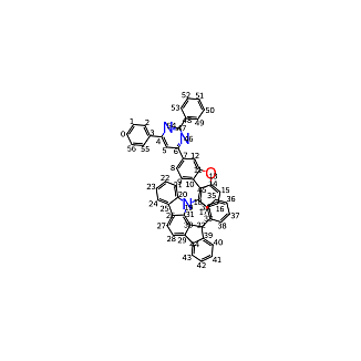 c1ccc(-c2cc(-c3ccc4c(c3)oc3cccc(-n5c6ccccc6c6ccc7c(c65)C(c5ccccc5)c5ccccc5-7)c34)nc(-c3ccccc3)n2)cc1